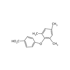 Cc1cc(C)c(Oc2ccc(C(=O)O)cc2)c(C)c1